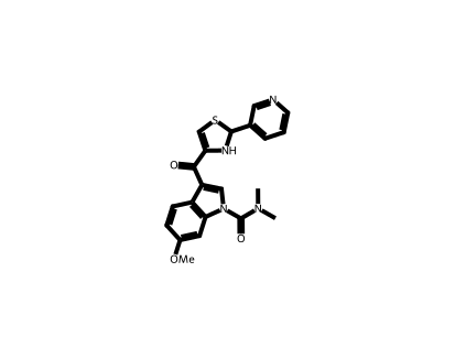 COc1ccc2c(C(=O)C3=CSC(c4cccnc4)N3)cn(C(=O)N(C)C)c2c1